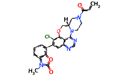 C=CC(=O)N1CCN2c3ncnc4cc(-c5cccc6c5oc(=O)n6C)c(Cl)c(c34)OC[C@@H]2C1